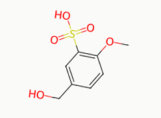 COc1ccc(CO)cc1S(=O)(=O)O